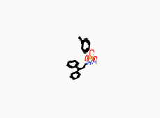 Cc1ccc(OS(=O)(=O)NCCC(c2ccccc2)c2ccccc2)cc1